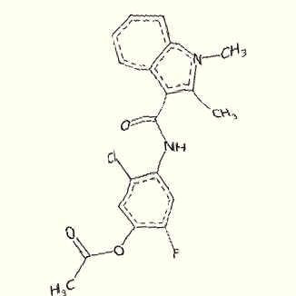 CC(=O)Oc1cc(Cl)c(NC(=O)c2c(C)n(C)c3ccccc23)cc1F